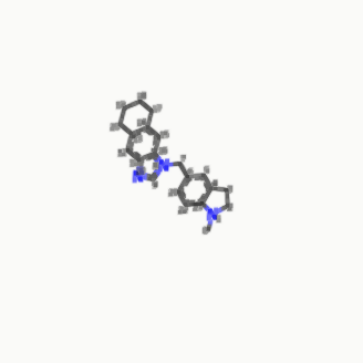 CN1CCc2cc(Cn3cnc4cc5c(cc43)CCCC5)ccc21